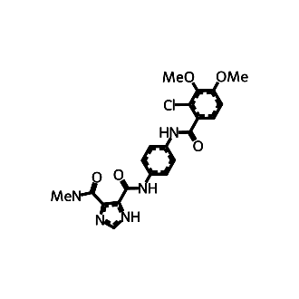 CNC(=O)c1nc[nH]c1C(=O)Nc1ccc(NC(=O)c2ccc(OC)c(OC)c2Cl)cc1